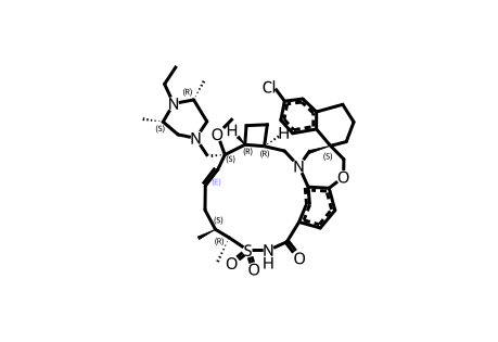 CCN1[C@H](C)CN(C[C@@]2(OC)/C=C/C[C@H](C)[C@@H](C)S(=O)(=O)NC(=O)c3ccc4c(c3)N(C[C@@H]3CC[C@H]32)C[C@@]2(CCCc3cc(Cl)ccc32)CO4)C[C@@H]1C